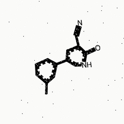 Cc1cccc(-c2c[nH]c(=O)c(C#N)c2)c1